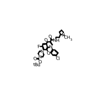 CN1CCCC1CCNC(=O)c1cn2c3c(c(N4CCN(C(=O)OC(C)(C)C)CC4)c(F)cc3c1=O)Oc1cc(Cl)ccc1-2